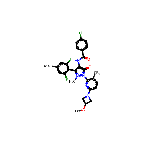 COc1cc(F)c(-c2c(NC(=O)c3ccc(Cl)cc3)c(=O)n(-c3nc(N4CC(OC(C)C)C4)ccc3C(F)(F)F)n2C)c(F)c1